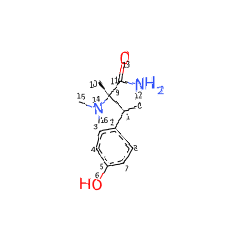 CC(c1ccc(O)cc1)[C@@](C)(C(N)=O)N(C)C